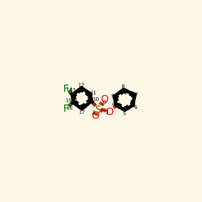 O=S(=O)(Oc1ccccc1)c1ccc(F)c(F)c1